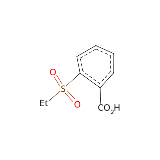 CCS(=O)(=O)c1ccccc1C(=O)O